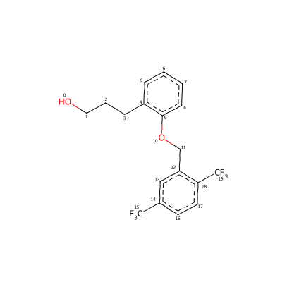 OCCCc1ccccc1OCc1cc(C(F)(F)F)ccc1C(F)(F)F